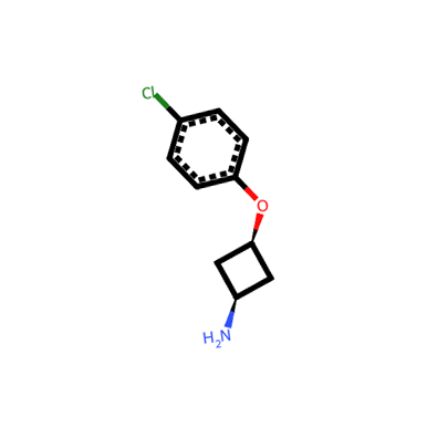 N[C@H]1C[C@@H](Oc2ccc(Cl)cc2)C1